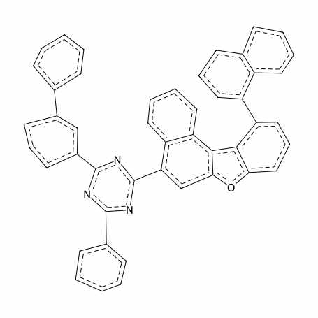 c1ccc(-c2cccc(-c3nc(-c4ccccc4)nc(-c4cc5oc6cccc(-c7cccc8ccccc78)c6c5c5ccccc45)n3)c2)cc1